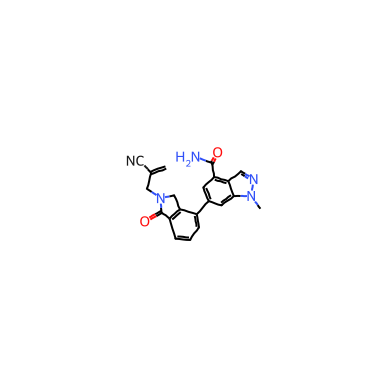 C=C(C#N)CN1Cc2c(cccc2-c2cc(C(N)=O)c3cnn(C)c3c2)C1=O